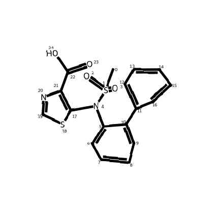 CS(=O)(=O)N(c1ccccc1-c1ccccc1)c1scnc1C(=O)O